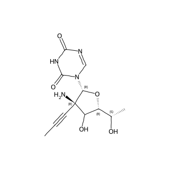 CC#C[C@@]1(N)C(O)[C@@H]([C@H](C)O)O[C@H]1n1cnc(=O)[nH]c1=O